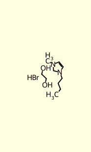 Br.CCCCN1C=CN(C)C1.OCCO